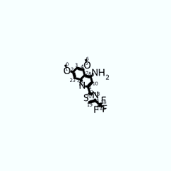 COc1cc(OC)c2c(N)cc(-c3nc(C(F)(F)F)cs3)nc2c1